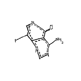 Nc1ncnc2c(I)cnc(Cl)c12